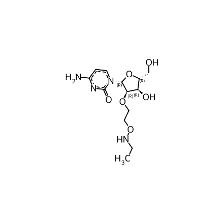 CCNOCCO[C@@H]1[C@H](O)[C@@H](CO)O[C@H]1n1ccc(N)nc1=O